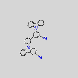 N#Cc1cc(-c2cccc(-n3c4ccccc4c4cc(C#N)ccc43)c2)cc(-n2c3ccccc3c3ccccc32)c1